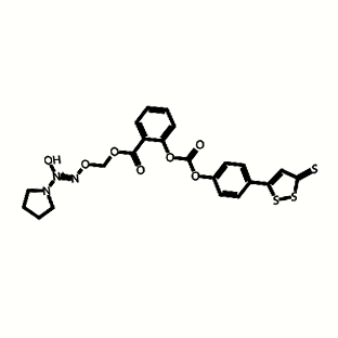 O=C(Oc1ccc(-c2cc(=S)ss2)cc1)Oc1ccccc1C(=O)OCO/N=[N+](\O)N1CCCC1